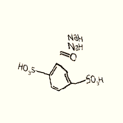 C=O.O=S(=O)(O)c1ccc(S(=O)(=O)O)cc1.[NaH].[NaH]